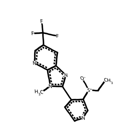 CC[S+]([O-])c1cnccc1-c1nc2cc(C(F)(F)F)cnc2n1C